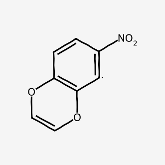 O=[N+]([O-])c1[c]c2c(cc1)OC=CO2